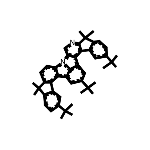 CC(C)(C)c1ccc2c(c1)-c1c(ccc3c1c1cc(C(C)(C)C)cc4c5c6c(ncc5n3c14)C(C)(C)c1ccc(C(C)(C)C)cc1-6)C2(C)C